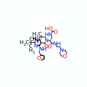 CC(C)CN(C(=O)c1cnc(C(C)(C)C)nc1NCc1ccco1)[C@@H](CNC(=O)O)C(=O)NCCN1CCOCC1